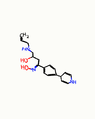 C=CCNCC(O)CC(=NO)c1ccc(C2C=CNC=C2)cc1